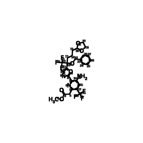 COC(=O)Cc1nc(-c2nnc(C(CCCC3OCCO3)(OCc3ccccc3)C(F)(F)F)o2)c(N)cc1C(F)(F)F